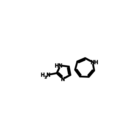 C1=CC=CNC=C1.Nc1ncc[nH]1